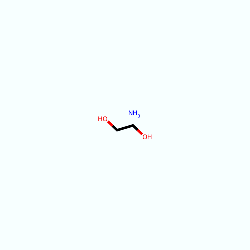 N.OCCO